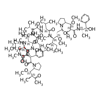 CC[C@@H](C)[C@H]([C@H](CC(=O)N1CCCC1[C@@H](OC)[C@H](C)C(=O)N[C@@H](C)[C@H](O)c1ccccc1)OC)N(C)C(=O)[C@H](NC(=O)[C@@H](C(C)C)N(C)C(=O)OCc1cc(COC(=O)N(C)[C@@H](C(=O)N[C@@H](C(=O)N(C)[C@@H](C(CC(=O)N2CCCC2[C@@H](OC)[C@H](C)C(C)=O)OC)[C@H](C)CC)C(C)C)C(C)C)ccc1C)C(C)C